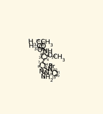 CCOc1cc(-c2ccc3nc(N)nc(N(Br)c4ccccc4)c3c2)ccc1NC(=O)OC(C)(C)C